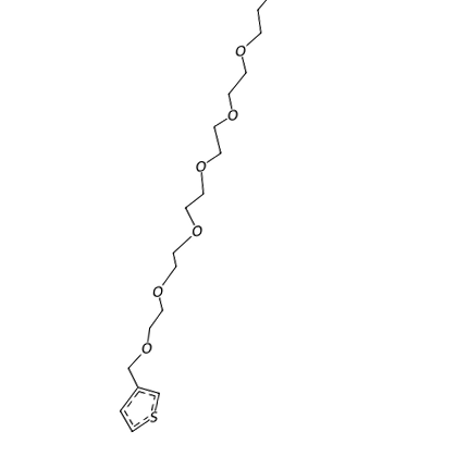 COCCOCCOCCOCCOCCOCCOCc1ccsc1